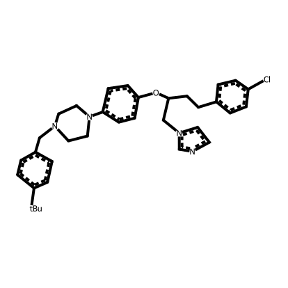 CC(C)(C)c1ccc(CN2CCN(c3ccc(OC(CCc4ccc(Cl)cc4)Cn4ccnc4)cc3)CC2)cc1